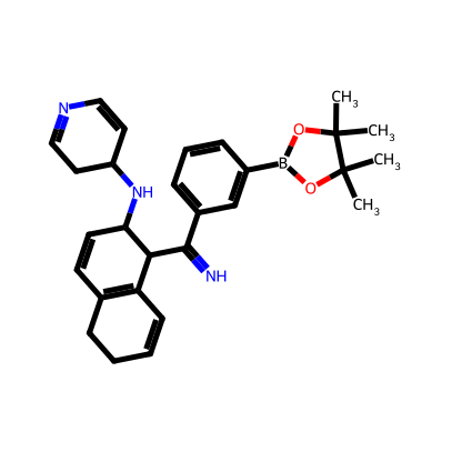 CC1(C)OB(c2cccc(C(=N)C3C4=C(C=CC3NC3C=CN=CC3)CCC=C4)c2)OC1(C)C